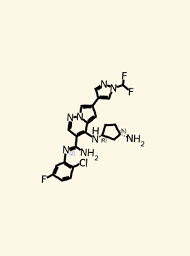 N/C(=N\c1cc(F)ccc1Cl)c1cnn2cc(-c3cnn(C(F)F)c3)cc2c1N[C@@H]1CC[C@H](N)C1